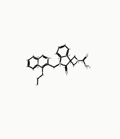 CCCc1c(CN2C(=O)C3(CN(C(N)=O)C3)c3ccccc32)ncc2ccccc12